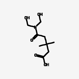 CC(C)(CC(=O)O)CC(=O)N(CO)CO